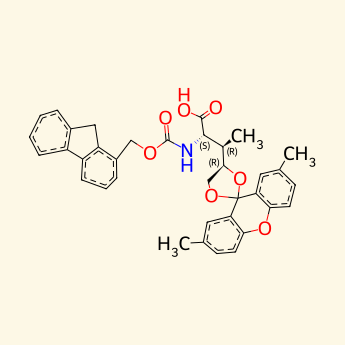 Cc1ccc2c(c1)C1(OC[C@@H]([C@H](C)[C@H](NC(=O)OCc3cccc4c3Cc3ccccc3-4)C(=O)O)O1)c1cc(C)ccc1O2